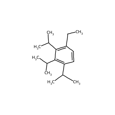 CCc1ccc(C(C)C)c(C(C)C)c1C(C)C